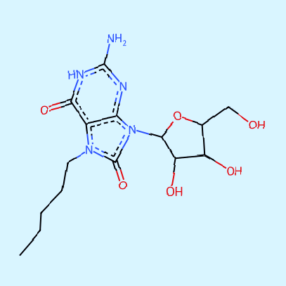 CCCCCn1c(=O)n(C2OC(CO)C(O)C2O)c2nc(N)[nH]c(=O)c21